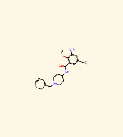 CCOc1c(N)cc([N+](=O)[O-])cc1C(=O)NC1CCN(CC2CC=CCC2)CC1